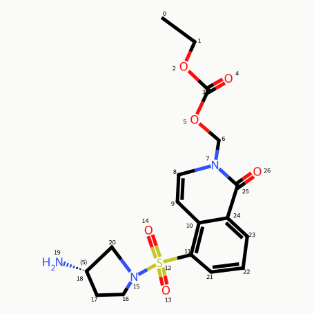 CCOC(=O)OCn1ccc2c(S(=O)(=O)N3CC[C@H](N)C3)cccc2c1=O